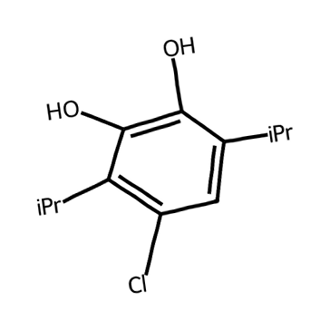 CC(C)c1cc(Cl)c(C(C)C)c(O)c1O